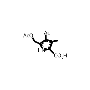 CC(=O)OCc1[nH]c(C(=O)O)c(C)c1C(C)=O